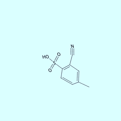 Cc1ccc(S(=O)(=O)O)c(C#N)c1